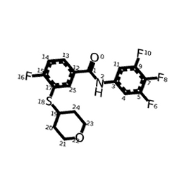 O=C(Nc1cc(F)c(F)c(F)c1)c1ccc(F)c(SC2CCOCC2)c1